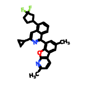 Cc1cc(-c2nc(C3CC3)cc3c(C4CCC(F)(F)C4)cccc23)c2oc3nc(C)ccc3c2c1